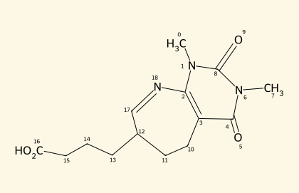 Cn1c2c(c(=O)n(C)c1=O)CCC(CCCC(=O)O)C=N2